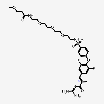 COCCC(=O)NCCOCCOCCOCCNS(=O)(=O)c1ccc(Oc2c(F)cc(/C=C(\C)C(=O)N=C(N)N)cc2F)cc1